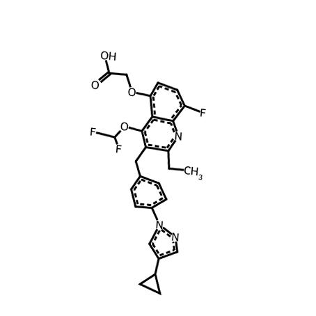 CCc1nc2c(F)ccc(OCC(=O)O)c2c(OC(F)F)c1Cc1ccc(-n2cc(C3CC3)cn2)cc1